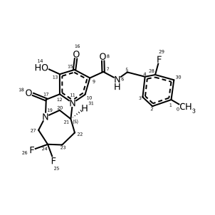 Cc1ccc(CNC(=O)c2cn3c(c(O)c2=O)C(=O)N2C[C@@H]3CCC(F)(F)C2)c(F)c1